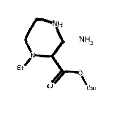 CCN1CCNCC1C(=O)OC(C)(C)C.N